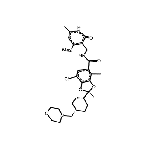 CSc1cc(C)[nH]c(=O)c1CNC(=O)c1cc(Cl)c2c(c1C)O[C@@](C)([C@H]1CC[C@@H](CN3CCOCC3)CC1)O2